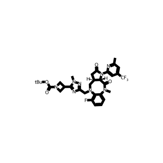 Cc1cc(C(F)(F)F)cc(N2C(=O)C[C@@H]3CN(Cc4nc(C5CN(C(=O)OC(C)(C)C)C5)n(C)n4)c4c(F)cccc4N(C)C(=O)[C@H]32)n1